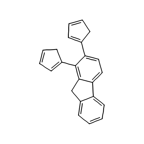 [CH]1c2ccccc2-c2ccc(C3=CC=CC3)c(C3=CC=CC3)c21